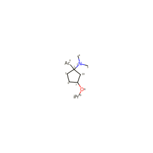 CC(=O)C1(N(C)C)CCC(OC(C)C)C1